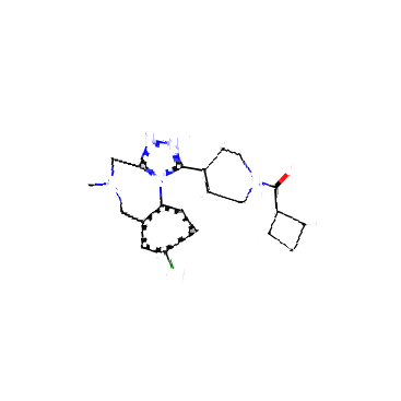 CN1Cc2cc(Cl)ccc2-n2c(nnc2C2CCN(C(=O)C3CCC3)CC2)C1